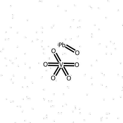 [O]=[Pb].[O]=[V](=[O])(=[O])(=[O])=[O]